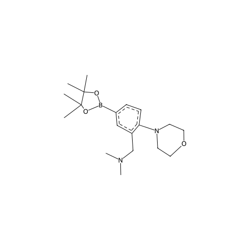 CN(C)Cc1cc(B2OC(C)(C)C(C)(C)O2)ccc1N1CCOCC1